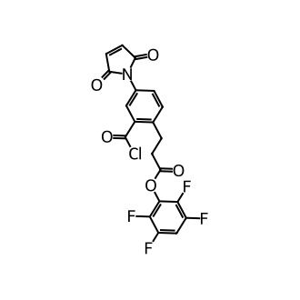 O=C(CCc1ccc(N2C(=O)C=CC2=O)cc1C(=O)Cl)Oc1c(F)c(F)cc(F)c1F